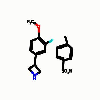 Cc1ccc(S(=O)(=O)O)cc1.Fc1cc(C2CNC2)ccc1OC(F)(F)F